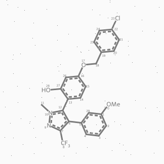 COc1cccc(-c2c(C(F)(F)F)nn(C)c2-c2ccc(OCc3ccc(Cl)cc3)cc2O)c1